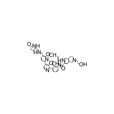 COc1nc(-c2ccnc(-c3cccc(NC(=O)c4cc5c(cn4)CCN(CCO)C5)c3C)c2Cl)ccc1CNCC1CCC(=O)N1